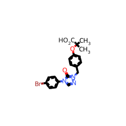 CC(C)(Oc1ccc(Cn2ncn(-c3ccc(Br)cc3)c2=O)cc1)C(=O)O